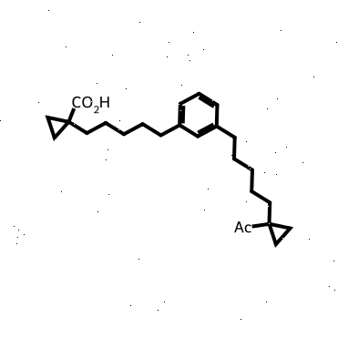 CC(=O)C1(CCCCCc2cccc(CCCCCC3(C(=O)O)CC3)c2)CC1